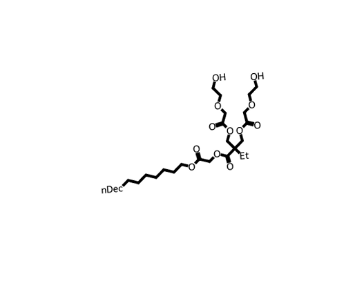 CCCCCCCCCCCCCCCCCOC(=O)COC(=O)C(CC)(COC(=O)COCCO)COC(=O)COCCO